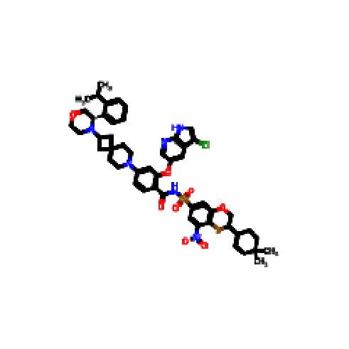 CC(C)c1ccccc1[C@H]1COCCN1C1CC2(CCN(c3ccc(C(=O)NS(=O)(=O)c4cc5c(c([N+](=O)[O-])c4)SC(C4CCC(C)(C)CC4)CO5)c(Oc4cnc5[nH]cc(Cl)c5c4)c3)CC2)C1